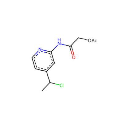 CC(=O)OCC(=O)Nc1cc(C(C)Cl)ccn1